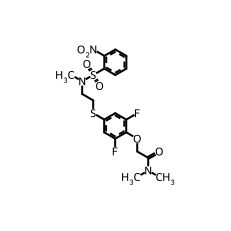 CN(C)C(=O)COc1c(F)cc(SCCN(C)S(=O)(=O)c2ccccc2[N+](=O)[O-])cc1F